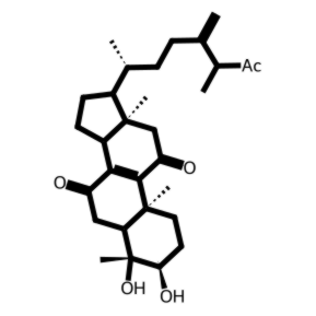 C=C(CC[C@@H](C)C1CCC2C3=C(C(=O)C[C@@]21C)[C@@]1(C)CC[C@@H](O)[C@](C)(O)C1CC3=O)C(C)C(C)=O